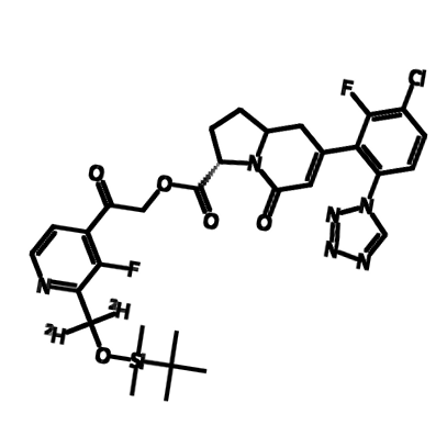 [2H]C([2H])(O[Si](C)(C)C(C)(C)C)c1nccc(C(=O)COC(=O)[C@@H]2CCC3CC(c4c(-n5cnnn5)ccc(Cl)c4F)=CC(=O)N32)c1F